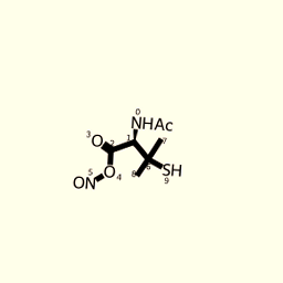 CC(=O)N[C@H](C(=O)ON=O)C(C)(C)S